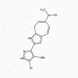 CCCCc1c(-c2cc3c([nH]2)CC=C(N(C)CC)C=C3)n[nH]c1CC